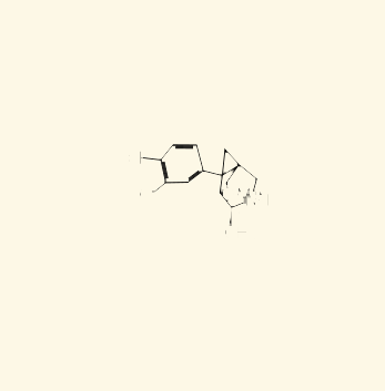 COCC12CN[C@@H](C)CC1(c1ccc(Cl)c(Cl)c1)C2